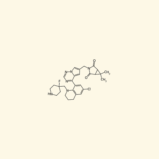 CC1(C)C2C(=O)N(Cc3cc4c(-c5cc(Cl)cc6c5N(CC5(F)CCNCC5)CCC6)ncnn4c3)C(=O)C21